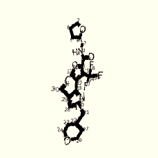 O=C(NC[C@@H]1CCCO1)c1oc2c(c1C(F)(F)F)-c1nn(CC3CCOCC3)cc1CC2